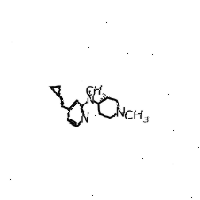 CN1CCC(N(C)c2cc(C=C3CC3)ccn2)CC1